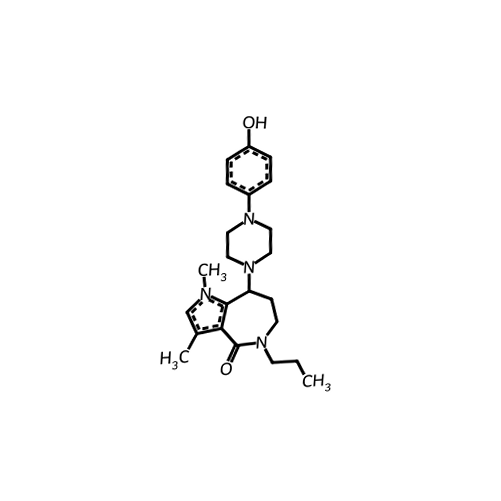 CCCN1CCC(N2CCN(c3ccc(O)cc3)CC2)c2c(c(C)cn2C)C1=O